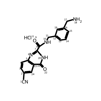 Cl.N#Cc1ccc2nc(C(=O)NCc3cccc(CN)c3)[nH]c(=O)c2c1